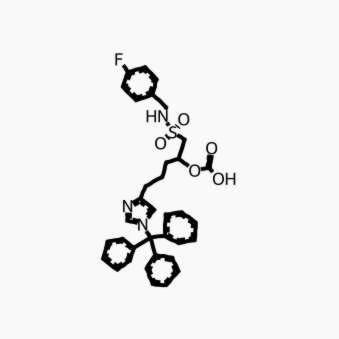 O=C(O)OC(CCCc1cn(C(c2ccccc2)(c2ccccc2)c2ccccc2)cn1)CS(=O)(=O)NCc1ccc(F)cc1